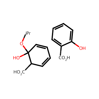 CC(C)OC1(O)C=CC=CC1C(=O)O.O=C(O)c1ccccc1O